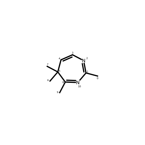 CC1=NC=CC(C)(C)C(C)=N1